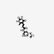 Cc1[nH]c(=O)[nH]c(=O)c1C=CC(=O)NC(CO)C[S+]([O-])C[S+](C)[O-]